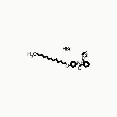 Br.CCCCCCCCCCCCCCOc1ccc(NC(=O)c2ccccc2CN2C=CSC2)cc1